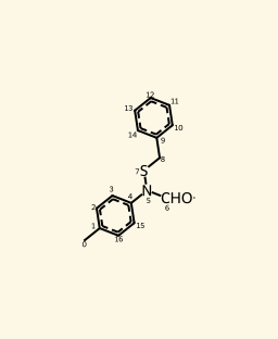 Cc1ccc(N([C]=O)SCc2ccccc2)cc1